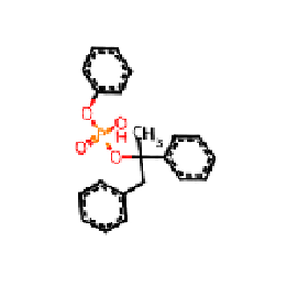 CC(Cc1ccccc1)(OP(=O)(O)Oc1ccccc1)c1ccccc1